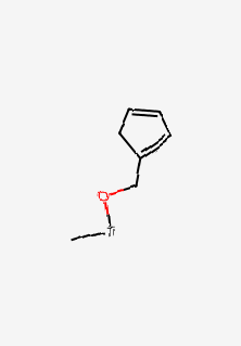 [CH3][Ti][O]CC1=CC=CC1